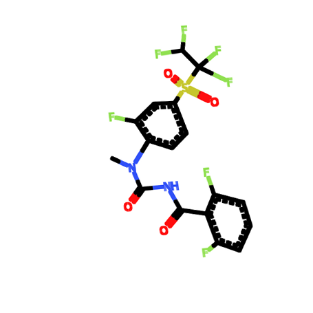 CN(C(=O)NC(=O)c1c(F)cccc1F)c1ccc(S(=O)(=O)C(F)(F)C(F)F)cc1F